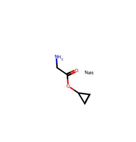 NCC(=O)OC1CC1.[NaH]